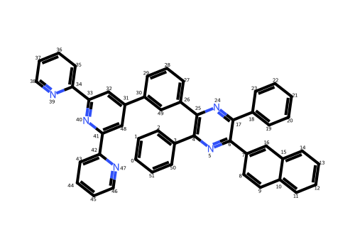 c1ccc(-c2nc(-c3ccc4ccccc4c3)c(-c3ccccc3)nc2-c2cccc(-c3cc(-c4ccccn4)nc(-c4ccccn4)c3)c2)cc1